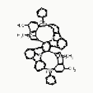 CC1C=CC2(C)C3=C1C(C)C=C(c1c4c5cccc6c7ccc8cc7n(c4c(c4c7cccc9c%10ccc(cc%10n(c14)c97)N2c1ccccc1)C1=CC(C)C2=C(C1C)C(C)(C=CC2C)N8c1ccccc1)c65)C3C